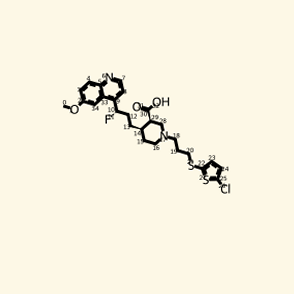 COc1ccc2nccc([C@@H](F)CC[C@@H]3CCN(CCCSc4ccc(Cl)s4)C[C@@H]3C(=O)O)c2c1